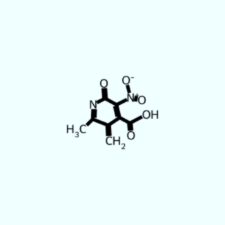 C=C1C(C)=NC(=O)C([N+](=O)[O-])=C1C(=O)O